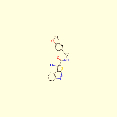 COc1ccc(C2CC2NC(=O)c2sc3nnc4c(c3c2N)CCCC4)cc1